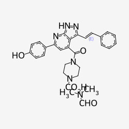 CN(C)C=O.O=C(O)N1CCN(C(=O)c2cc(-c3ccc(O)cc3)nc3[nH]nc(/C=C/c4ccccc4)c23)CC1